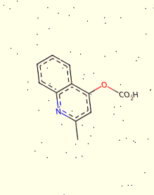 Cc1cc(OC(=O)O)c2ccccc2n1